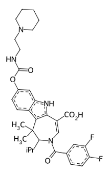 CC(C)C1N(C(=O)c2ccc(F)c(F)c2)C=C(C(=O)O)c2[nH]c3cc(OC(=O)NCCN4CCCCC4)ccc3c2C1(C)C